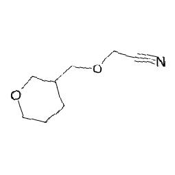 N#CCOCC1CCCOC1